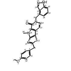 COc1ccc(Cc2nc3c(s2)c2cnn(Cc4cccc5[nH]ncc45)c(=O)c2n3C)cn1